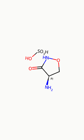 N[C@@H]1CONC1=O.O=S(=O)(O)O